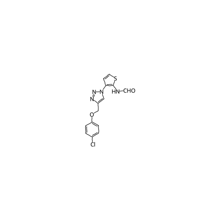 O=CNc1sccc1-n1cc(COc2ccc(Cl)cc2)nn1